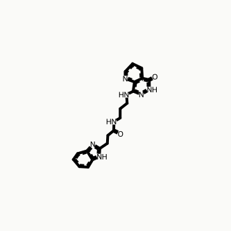 O=C(CCc1nc2ccccc2[nH]1)NCCCNc1n[nH]c(=O)c2cccnc12